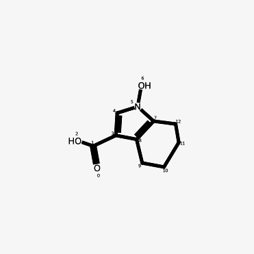 O=C(O)c1cn(O)c2c1CCCC2